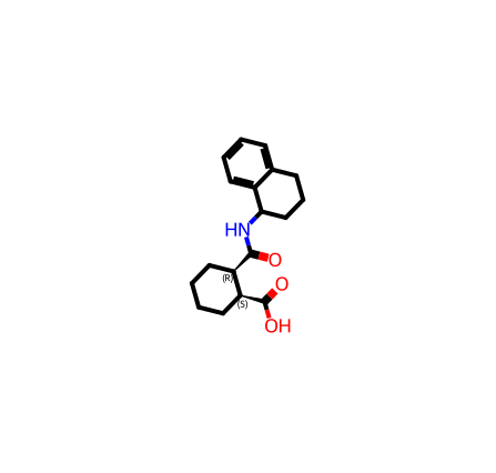 O=C(O)[C@H]1CCCC[C@H]1C(=O)NC1CCCc2ccccc21